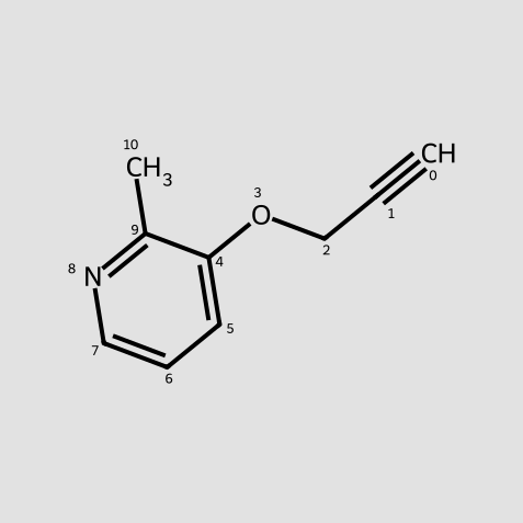 C#CCOc1cccnc1C